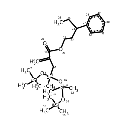 C=C(C[Si](C)(O[Si](C)(C)C)O[Si](C)(C)O[Si](C)(C)C)C(=O)OCCC(CC)c1ccccc1